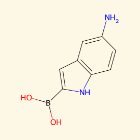 Nc1ccc2[nH]c(B(O)O)cc2c1